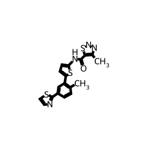 Cc1ccc(-c2nccs2)cc1-c1ccc(NC(=O)c2snnc2C)s1